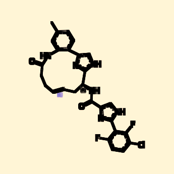 Cc1ccc2c(c1)NC(=O)CC/C=C/C[C@H](NC(=O)c1c[nH]c(-c3c(F)ccc(Cl)c3F)n1)c1nc-2c[nH]1